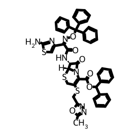 Cc1nnc(CSC2=C(C(=O)OC(c3ccccc3)c3ccccc3)N3C(=O)[C@@H](NC(=O)/C(=N\OC(c4ccccc4)(c4ccccc4)c4ccccc4)c4csc(N)n4)[C@H]3SC2)o1